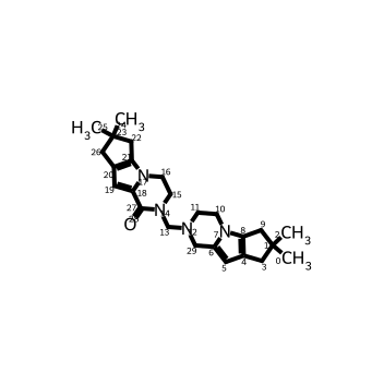 CC1(C)Cc2cc3n(c2C1)CCN(CN1CCn2c(cc4c2CC(C)(C)C4)C1=O)C3